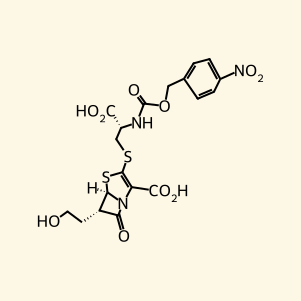 O=C(N[C@H](CSC1=C(C(=O)O)N2C(=O)[C@H](CCO)[C@H]2S1)C(=O)O)OCc1ccc([N+](=O)[O-])cc1